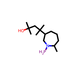 CC1CCCC(C(C)(C)CC(C)(C)O)CN1P